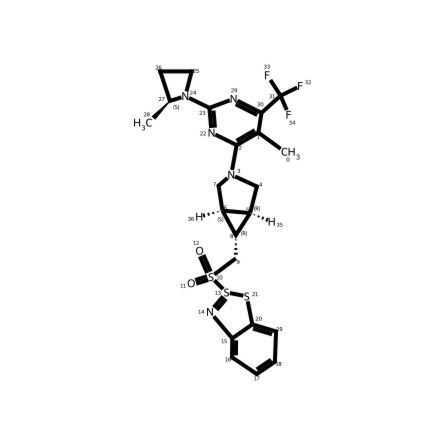 Cc1c(N2C[C@@H]3[C@H](C2)[C@H]3CS(=O)(=O)S2=Nc3ccccc3S2)nc(N2CC[C@@H]2C)nc1C(F)(F)F